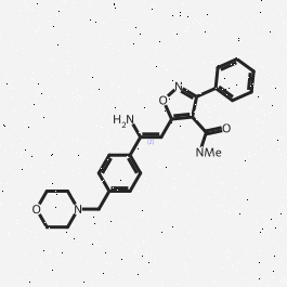 CNC(=O)c1c(-c2ccccc2)noc1/C=C(\N)c1ccc(CN2CCOCC2)cc1